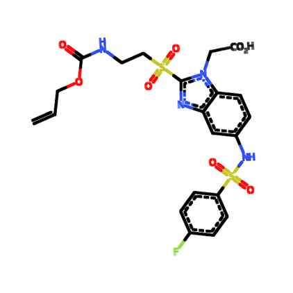 C=CCOC(=O)NCCS(=O)(=O)c1nc2cc(NS(=O)(=O)c3ccc(F)cc3)ccc2n1CC(=O)O